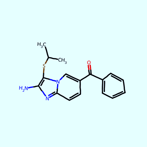 CC(C)Sc1c(N)nc2ccc(C(=O)c3ccccc3)cn12